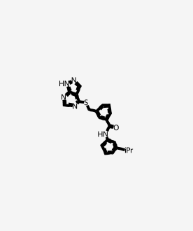 CC(C)c1cccc(NC(=O)c2cccc(CSc3ncnc4[nH]ncc34)c2)c1